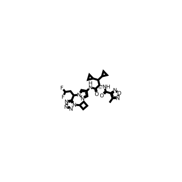 Cc1nonc1C(=O)N[C@H](C(=O)Nc1cnn(C(CC(F)F)c2nnnn2C2CCC2)c1)C(C1CC1)C1CC1